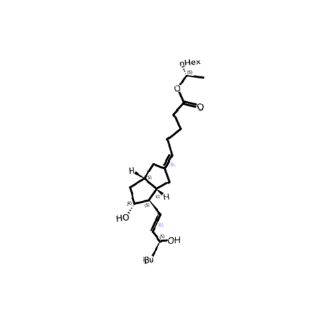 CCCCCC[C@H](C)OC(=O)CCC/C=C1\C[C@H]2C[C@@H](O)[C@H](/C=C/[C@@H](O)C(C)CC)[C@H]2C1